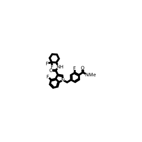 CNC(=O)c1ccc(Cn2cc(C(=O)NC3CCCCC3(F)F)c3c(F)cccc32)cc1F